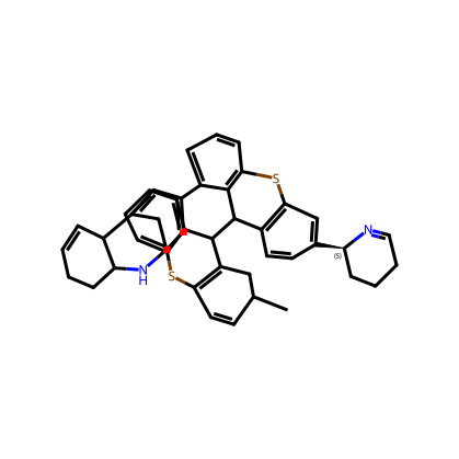 CC1C=CC2=C(C1)C(C1c3ccc([C@@H]4CCCC=N4)cc3Sc3cccc(C4=CC5CC(=C4)C4C=CCCC4N5)c31)c1ccccc1S2